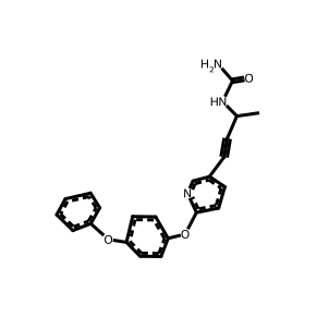 CC(C#Cc1ccc(Oc2ccc(Oc3ccccc3)cc2)nc1)NC(N)=O